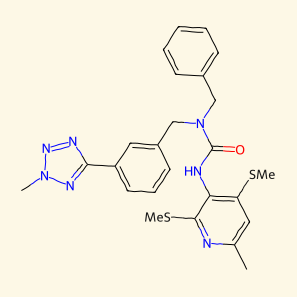 CSc1cc(C)nc(SC)c1NC(=O)N(Cc1ccccc1)Cc1cccc(-c2nnn(C)n2)c1